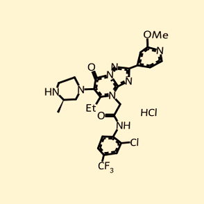 CCc1c(N2CCN[C@H](C)C2)c(=O)n2nc(-c3ccnc(OC)c3)nc2n1CC(=O)Nc1ccc(C(F)(F)F)cc1Cl.Cl